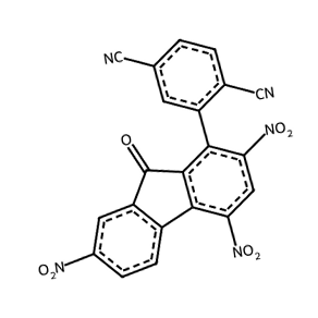 N#Cc1ccc(C#N)c(-c2c([N+](=O)[O-])cc([N+](=O)[O-])c3c2C(=O)c2cc([N+](=O)[O-])ccc2-3)c1